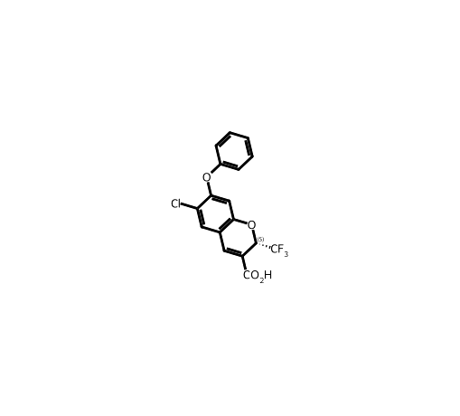 O=C(O)C1=Cc2cc(Cl)c(Oc3ccccc3)cc2O[C@@H]1C(F)(F)F